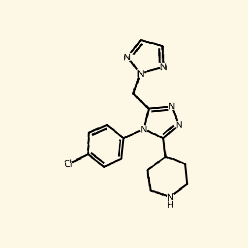 Clc1ccc(-n2c(Cn3nccn3)nnc2C2CCNCC2)cc1